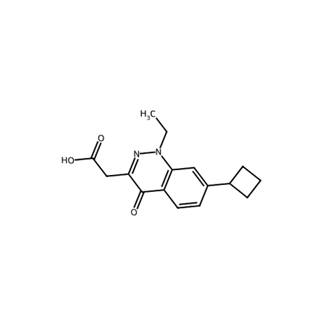 CCn1nc(CC(=O)O)c(=O)c2ccc(C3CCC3)cc21